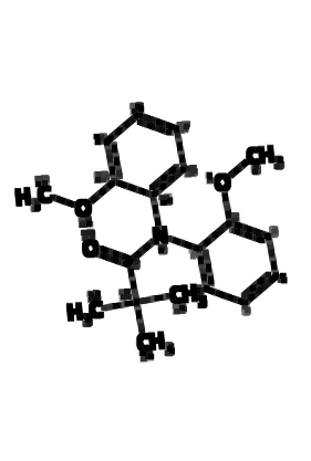 COc1ccccc1N(C(=O)C(C)(C)C)c1ccccc1OC